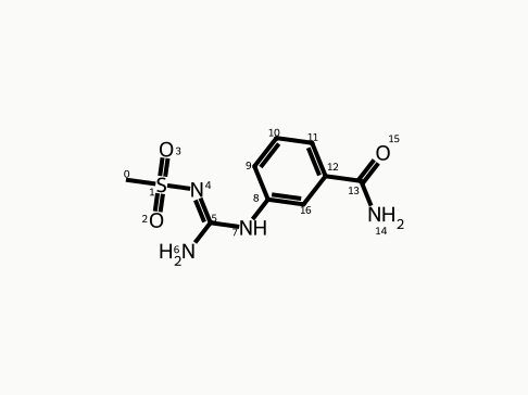 CS(=O)(=O)N=C(N)Nc1cccc(C(N)=O)c1